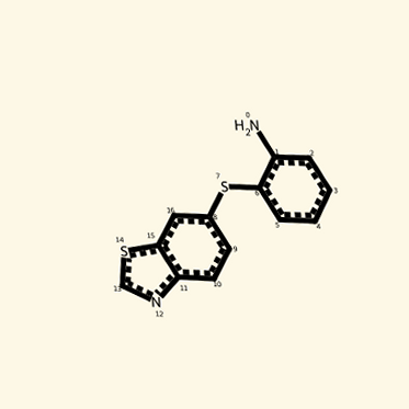 Nc1ccccc1Sc1ccc2ncsc2c1